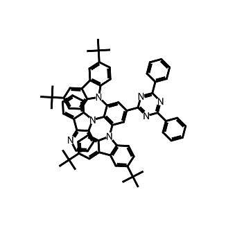 CC(C)(C)c1ccc2c(c1)c1cc(C(C)(C)C)ccc1n2-c1cc(-c2nc(-c3ccccc3)nc(-c3ccccc3)n2)cc(-n2c3ccc(C(C)(C)C)cc3c3cc(C(C)(C)C)ccc32)c1-n1c2ccccc2c2ncccc21